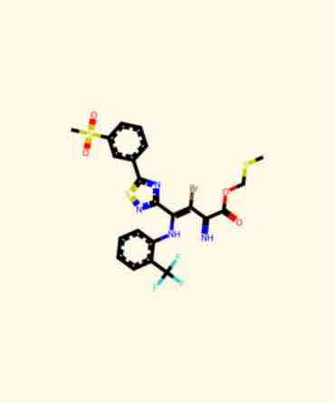 CSCOC(=O)C(=N)/C(Br)=C(\Nc1ccccc1C(F)(F)F)c1nsc(-c2cccc(S(C)(=O)=O)c2)n1